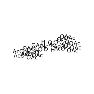 CC(=O)OC[C@H]1O[C@@H](O[C@H]2[C@H](OC(C)=O)[C@@H](OC(C)=O)[C@H](Oc3ccc(NC(=O)CCC(=O)Nc4ccc(O[C@@H]5O[C@H](COC(C)=O)[C@@H](O[C@@H]6O[C@H](COC(C)=O)[C@@H](OC(C)=O)[C@H](OC(C)=O)[C@H]6OC(C)=O)[C@H](OC(C)=O)[C@H]5OC(C)=O)cc4)cc3)O[C@@H]2COC(C)=O)[C@H](OC(C)=O)[C@@H](OC(C)=O)[C@@H]1OC(C)=O